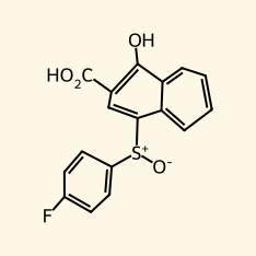 O=C(O)c1cc([S+]([O-])c2ccc(F)cc2)c2ccccc2c1O